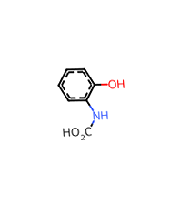 O=C(O)Nc1ccccc1O